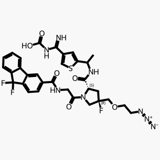 CC(NC(=O)[C@@H]1C[C@](F)(COCCN=[N+]=[N-])CN1C(=O)CNC(=O)c1ccc2c(c1)-c1ccccc1C2(F)F)c1cc(C(=N)NC(=O)O)cs1